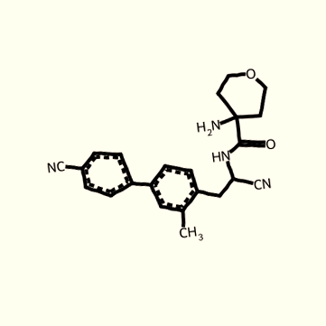 Cc1cc(-c2ccc(C#N)cc2)ccc1CC(C#N)NC(=O)C1(N)CCOCC1